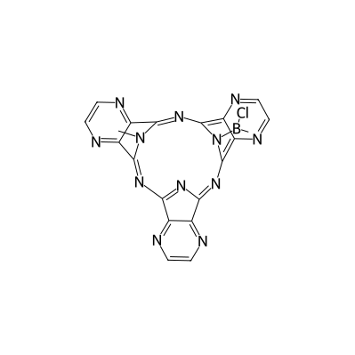 CB(Cl)n1c2nc3nc(nc4c5nccnc5c(nc1c1nccnc12)n4C)-c1nccnc1-3